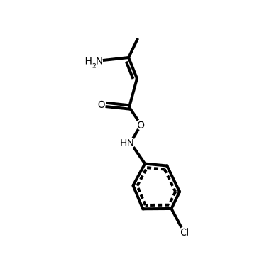 CC(N)=CC(=O)ONc1ccc(Cl)cc1